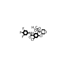 CS(=O)(=O)N(c1cc(C(=O)Nc2cc(F)c(F)c(F)c2)c(Cl)cc1Cl)N1CCOCC1